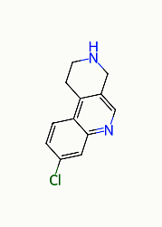 Clc1ccc2c3c(cnc2c1)CNCC3